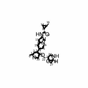 Cc1cc(-c2ccn3nc(NC(=O)[C@@H]4C[C@H]4C)cc3c2)c(OC[C@@]23CN[C@@H](CO2)C3)cn1